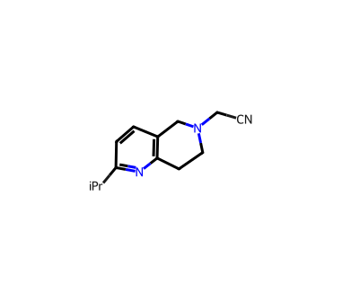 CC(C)c1ccc2c(n1)CCN(CC#N)C2